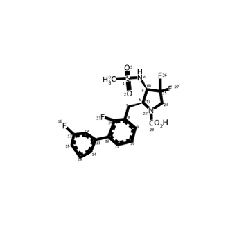 CS(=O)(=O)N[C@@H]1[C@H](Cc2cccc(-c3cccc(F)c3)c2F)N(C(=O)O)CC1(F)F